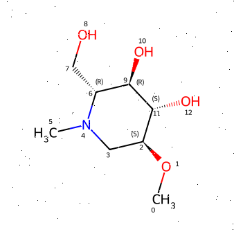 CO[C@H]1CN(C)[C@H](CO)[C@@H](O)[C@@H]1O